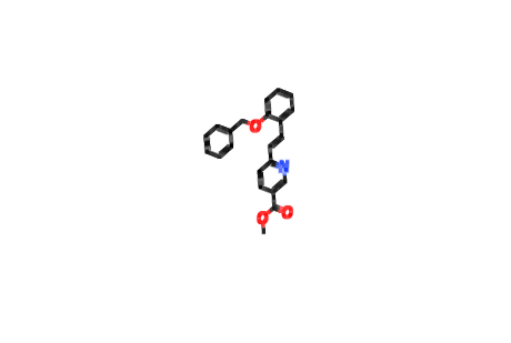 COC(=O)c1ccc(/C=C/c2ccccc2OCc2ccccc2)nc1